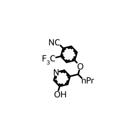 CCCC(Oc1ccc(C#N)c(C(F)(F)F)c1)c1cncc(O)c1